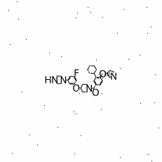 O=C(c1ccc(O[C@H]2CC=NC2)c(C2CCCCC2)c1)N1CCC(Oc2cc(F)cc(N3CCNCC3)c2)CC1